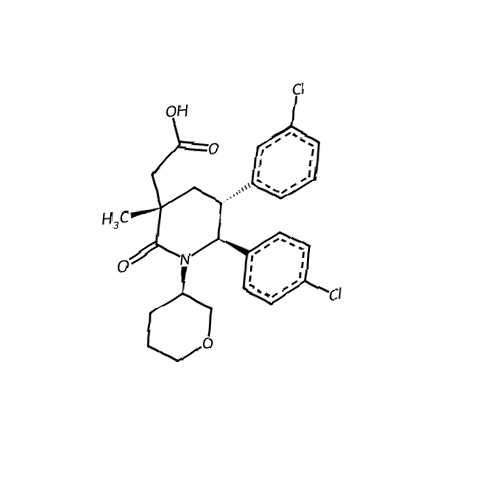 C[C@@]1(CC(=O)O)C[C@H](c2cccc(Cl)c2)[C@@H](c2ccc(Cl)cc2)N([C@@H]2CCCOC2)C1=O